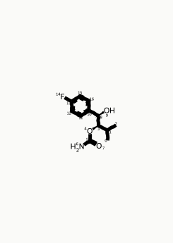 CC(C)[C@@H](OC(N)=O)[C@H](O)c1ccc(F)cc1